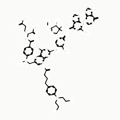 CN(Cc1cnc2nc(N)nc(N)c2n1)c1ccc(C(=O)N[C@@H](CCC(=O)O)C(=O)O)cc1.Nc1ccn([C@@H]2O[C@H](CO)[C@@H](O)C2(F)F)c(=O)n1.Nc1nc(=S)c2[nH]cnc2[nH]1.O=C(O)CCCc1ccc(N(CCCl)CCCl)cc1.S=c1nc[nH]c2nc[nH]c12